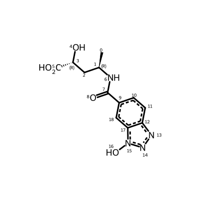 C[C@H](C[C@@H](O)C(=O)O)NC(=O)c1ccc2nnn(O)c2c1